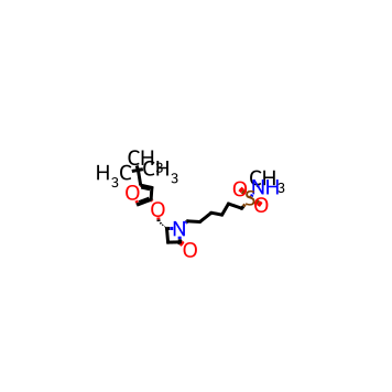 CNS(=O)(=O)CCCCCCN1C(=O)C[C@@H]1COc1coc(C(C)(C)C)c1